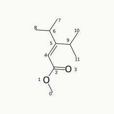 COC(=O)C=C(C(C)C)C(C)C